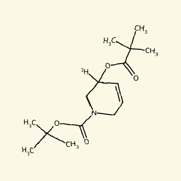 [2H]C1(OC(=O)C(C)(C)C)C=CCN(C(=O)OC(C)(C)C)C1